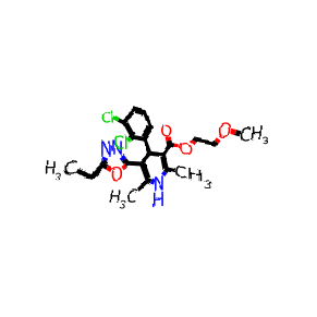 CCc1nnc(C2=C(C)NC(C)=C(C(=O)OCCOC)C2c2cccc(Cl)c2Cl)o1